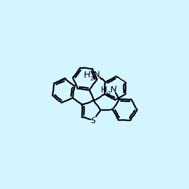 Nc1ccccc1C1SC=C(c2ccccc2)C1(c1ccccc1)c1ccccc1N